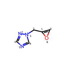 C1=C(Cn2cncn2)O1